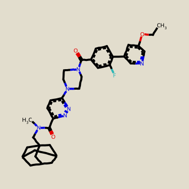 CCOc1cncc(-c2ccc(C(=O)N3CCN(c4ccc(C(=O)N(C)CC56CC7CC(CC(C7)C5)C6)nn4)CC3)cc2F)c1